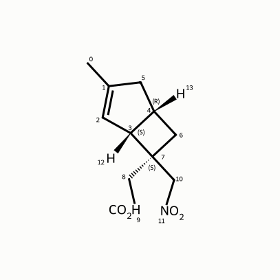 CC1=C[C@@H]2[C@H](C1)C[C@@]2(CC(=O)O)C[N+](=O)[O-]